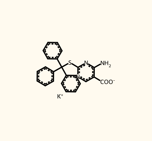 Nc1nc(SC(c2ccccc2)(c2ccccc2)c2ccccc2)ncc1C(=O)[O-].[K+]